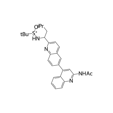 CC(=O)Nc1cc(-c2ccc3nc(C(CC(C)C)N[S+]([O-])C(C)(C)C)ccc3c2)c2ccccc2n1